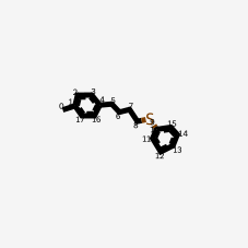 Cc1ccc(CCCCSc2ccccc2)cc1